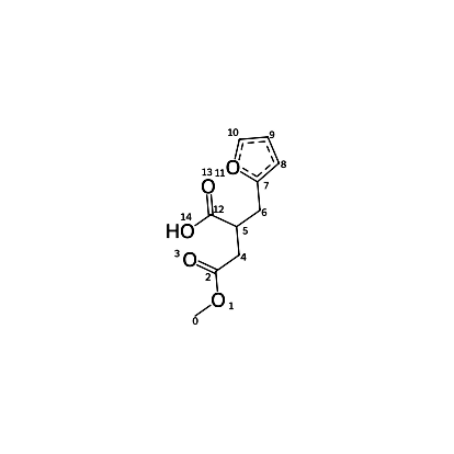 COC(=O)CC(Cc1ccco1)C(=O)O